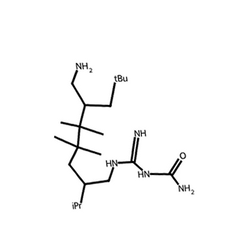 CC(C)C(CNC(=N)NC(N)=O)CC(C)(C)C(C)(C)C(CN)CC(C)(C)C